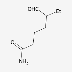 CCC(C=O)CCCC(N)=O